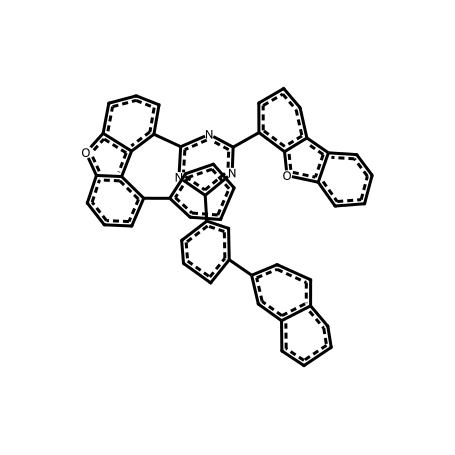 c1ccc(-c2cccc3oc4cccc(-c5nc(-c6cccc(-c7ccc8ccccc8c7)c6)nc(-c6cccc7c6oc6ccccc67)n5)c4c23)cc1